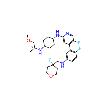 COC[C@H](C)N[C@H]1CC[C@H](Nc2cc(-c3cc(NCC4(F)CCOCC4)ccc3F)c(F)cn2)CC1